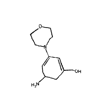 NC1C=C(N2CCOCC2)C=C(O)C1